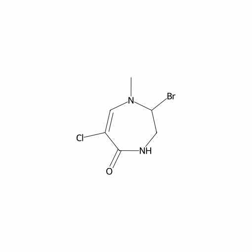 CN1C=C(Cl)C(=O)NCC1Br